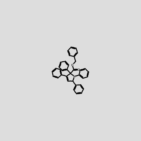 O=C(OCc1ccccc1)C1(c2ccccc2)C(c2ccccc2)=CC(c2ccccc2)N1c1ccccc1